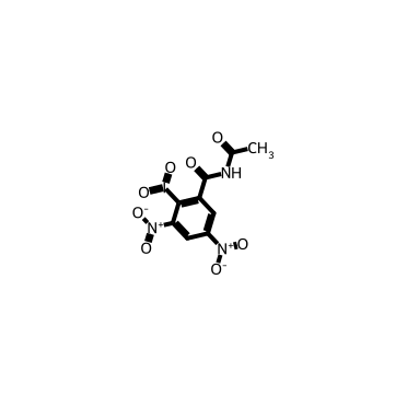 CC(=O)NC(=O)c1cc([N+](=O)[O-])cc([N+](=O)[O-])c1I(=O)=O